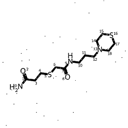 NC(=O)CCSCC(=O)NCCCN1CCSCC1